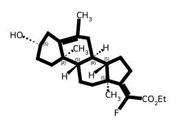 CCOC(=O)C(F)=C1CC[C@H]2[C@@H]3CC(C)=C4C[C@@H](O)CC[C@]4(C)[C@H]3CC[C@]12C